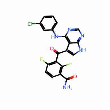 NC(=O)c1ccc(F)c(C(=O)c2c[nH]c3ncnc(Nc4cccc(Cl)c4)c23)c1F